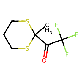 CC1(C(=O)C(F)(F)F)SCCCS1